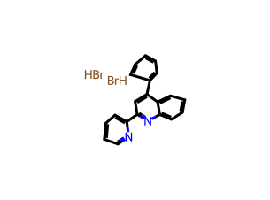 Br.Br.c1ccc(-c2cc(-c3ccccn3)nc3ccccc23)cc1